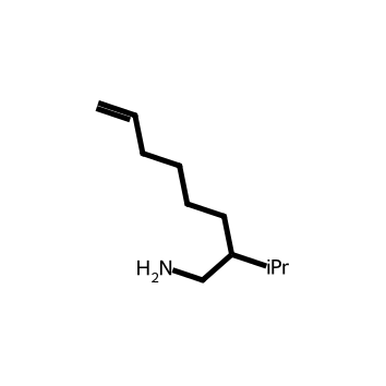 C=CCCCCC(CN)C(C)C